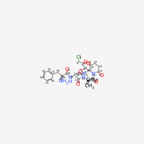 COC(C(C)C)[C@]1(C(=O)C(=O)CCl)C(=O)CCC(=O)N1C(=O)[C@H](C)NC(=O)CNC(=O)[C@@H](N)Cc1ccccc1